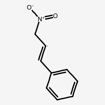 O=[N+]([O-])C[C]=Cc1ccccc1